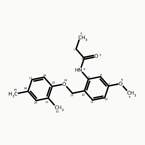 CCC(=O)Nc1cc(OC)ccc1COc1ccc(C)cc1C